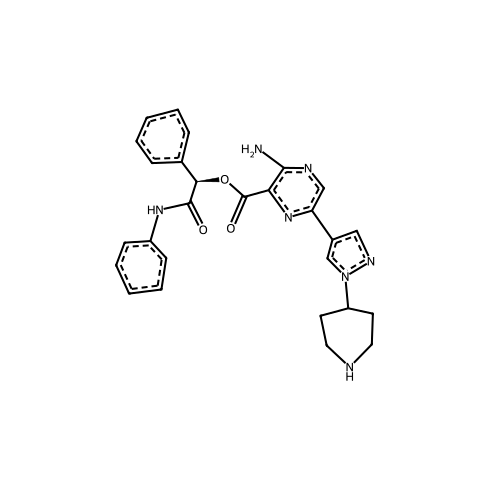 Nc1ncc(-c2cnn(C3CCNCC3)c2)nc1C(=O)O[C@@H](C(=O)Nc1ccccc1)c1ccccc1